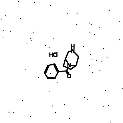 Cl.O=C(c1ccccc1)N1C2CCC1CNC2